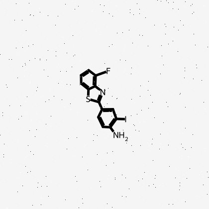 Nc1ccc(-c2nc3c(F)cccc3s2)cc1I